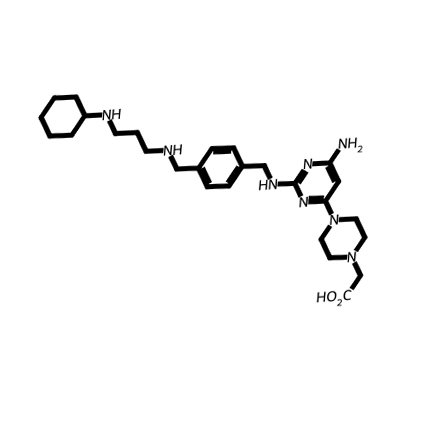 Nc1cc(N2CCN(CC(=O)O)CC2)nc(NCc2ccc(CNCCCNC3CCCCC3)cc2)n1